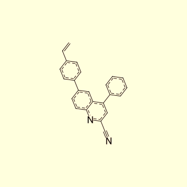 C=Cc1ccc(-c2ccc3nc(C#N)cc(-c4ccccc4)c3c2)cc1